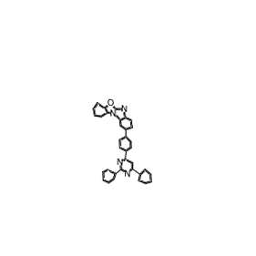 c1ccc(-c2cc(-c3ccc(-c4ccc5nc6oc7ccccc7n6c5c4)cc3)nc(-c3ccccc3)n2)cc1